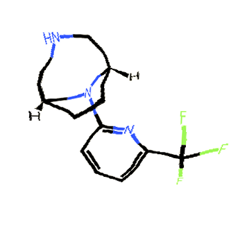 FC(F)(F)c1cccc(N2[C@@H]3CC[C@H]2CNC3)n1